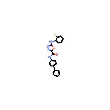 O=C(Nc1ccc(-c2ccccc2)cc1)c1nnc(Nc2ccccc2F)o1